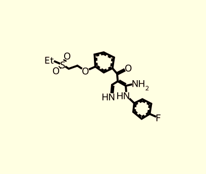 CCS(=O)(=O)CCOc1cccc(C(=O)/C(C=N)=C(\N)Nc2ccc(F)cc2)c1